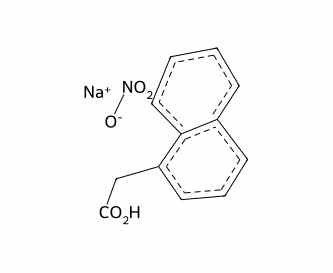 O=C(O)Cc1cccc2ccccc12.O=[N+]([O-])[O-].[Na+]